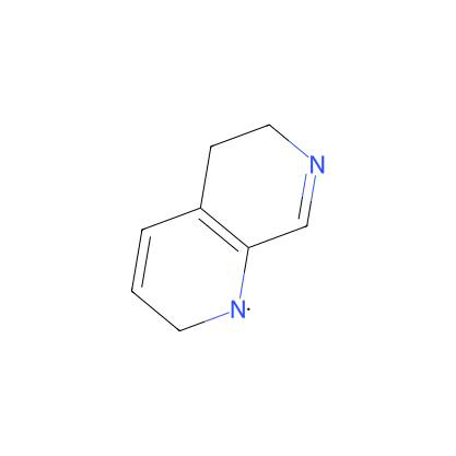 C1=CC2=C(C=NCC2)[N]C1